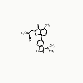 C=C(C#N)CN1Cc2c(-c3ccc4[nH]nc(N(C)C)c4c3)ccc(N)c2C1=O